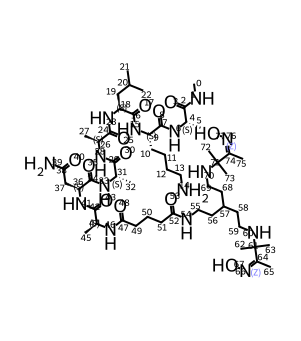 CNC(=O)[C@H](C)NC(=O)[C@H](CCCCN)NC(=O)[C@H](CC(C)C)NC(=O)[C@H](C)NC(=O)[C@H](C)NC(=O)[C@H](CC(N)=O)NC(=O)[C@H](C)NC(=O)CCCC(=O)NCCC(CCNC(C)(C)/C(C)=N\O)CCNC(C)(C)/C(C)=N\O